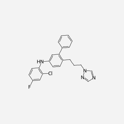 Fc1ccc(Nc2ccc(CCCn3cncn3)c(-c3ccccc3)c2)c(Cl)c1